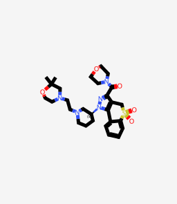 CC1(C)CN(CCN2CCC[C@H](n3nc(C(=O)N4CCOCC4)c4c3-c3ccccc3S(=O)(=O)C4)C2)CCO1